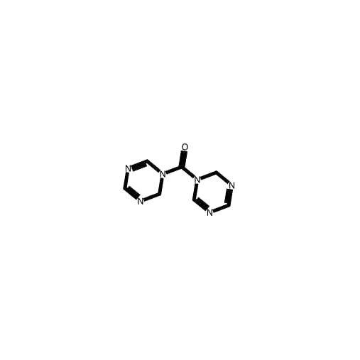 O=C(N1C=NC=NC1)N1C=NC=NC1